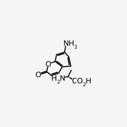 C[C@H](N)C(=O)O.Nc1ccc2ccc(=O)oc2c1